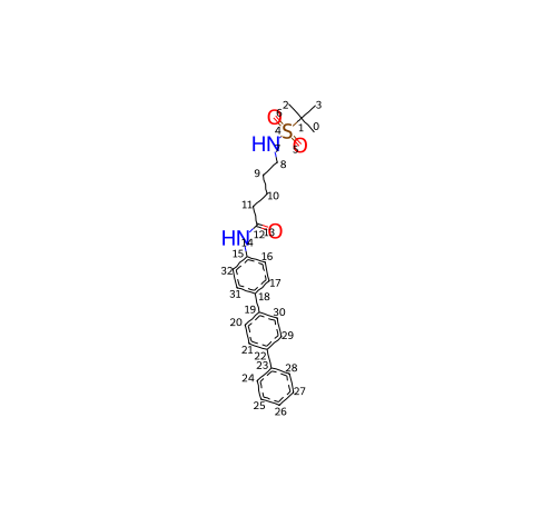 CC(C)(C)S(=O)(=O)NCCCCC(=O)Nc1ccc(-c2ccc(-c3ccccc3)cc2)cc1